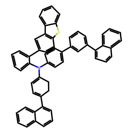 c1c(-c2ccccc2N(C2=CC=C(c3cccc4ccccc34)CC2)c2ccc(-c3cccc(-c4cccc5ccccc45)c3)cc2)cc2c(c#1)sc1ccccc12